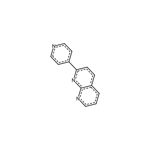 c1cnc2nc(-c3ccncc3)ccc2c1